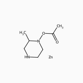 CC(=O)ON1CCNCC1C.[Zn]